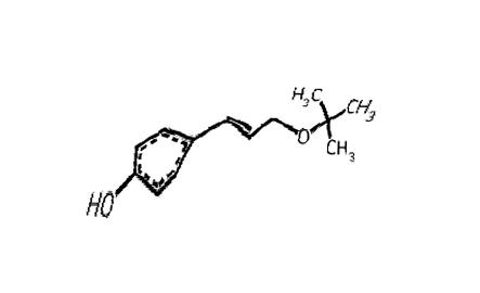 CC(C)(C)OCC=Cc1ccc(O)cc1